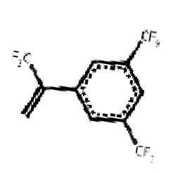 C=C(c1cc(C(F)(F)F)cc(C(F)(F)F)c1)C(F)(F)F